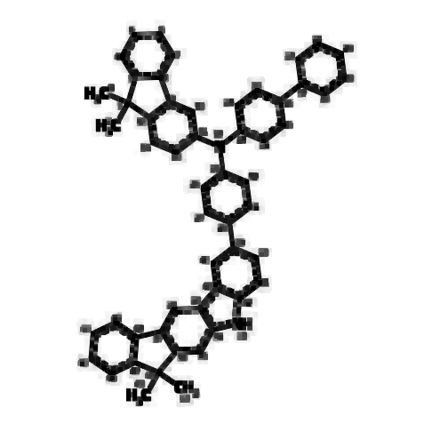 CC1(C)c2ccccc2-c2cc(N(c3ccc(-c4ccccc4)cc3)c3ccc(-c4ccc5[nH]c6cc7c(cc6c5c4)-c4ccccc4C7(C)C)cc3)ccc21